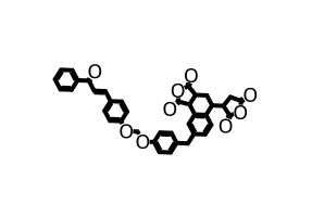 O=C1CC(C2CC3C(=O)OC(=O)C3c3cc(Cc4ccc(OCOc5ccc(/C=C/C(=O)c6ccccc6)cc5)cc4)ccc32)C(=O)O1